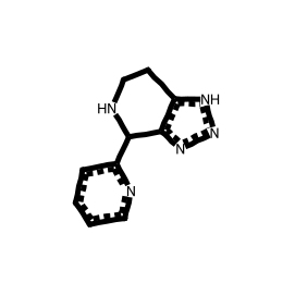 c1ccc(C2NCCc3[nH]nnc32)nc1